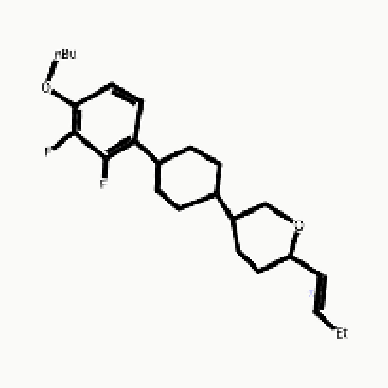 CC/C=C/C1CCC(C2CCC(c3ccc(OCCCC)c(F)c3F)CC2)CO1